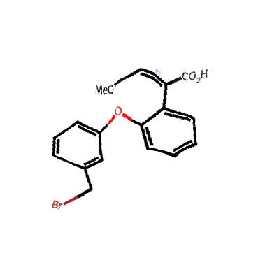 CO/C=C(/C(=O)O)c1ccccc1Oc1cccc(CBr)c1